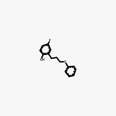 Oc1ccc(F)cc1CCCOc1ccccc1